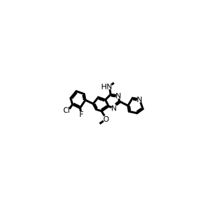 CNc1nc(-c2cccnc2)nc2c(OC)cc(-c3cccc(Cl)c3F)cc12